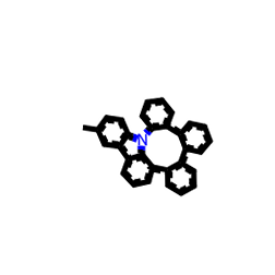 Cc1ccc2c(c1)c1cccc3c4ccccc4c4ccccc4c4ccccc4n2c31